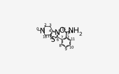 CN1CCc2nc(-c3ccccc3C(N)=O)sc2C1